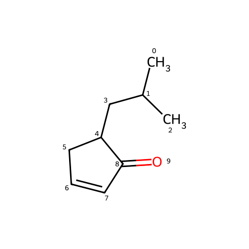 CC(C)CC1CC=CC1=O